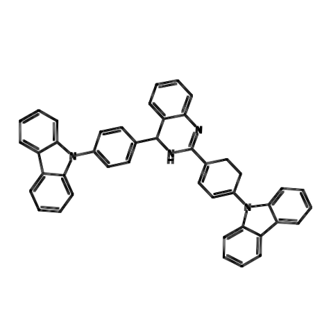 C1=C(C2=Nc3ccccc3C(c3ccc(-n4c5ccccc5c5ccccc54)cc3)N2)CCC(n2c3ccccc3c3ccccc32)=C1